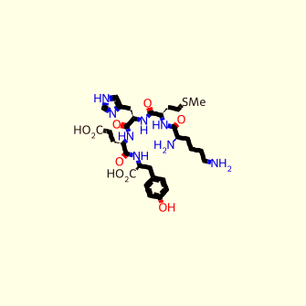 CSCC[C@H](NC(=O)[C@@H](N)CCCCN)C(=O)N[C@@H](Cc1c[nH]cn1)C(=O)N[C@@H](CCC(=O)O)C(=O)N[C@@H](Cc1ccc(O)cc1)C(=O)O